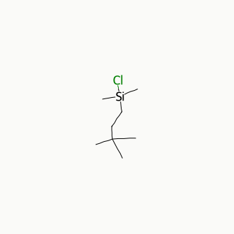 CC(C)(C)CC[Si](C)(C)Cl